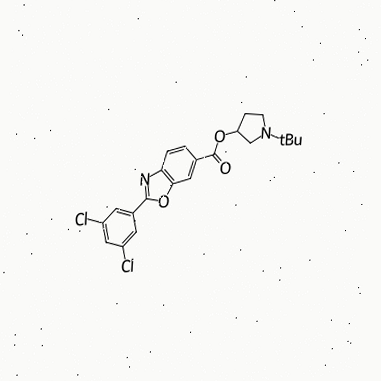 CC(C)(C)N1CCC(OC(=O)c2ccc3nc(-c4cc(Cl)cc(Cl)c4)oc3c2)C1